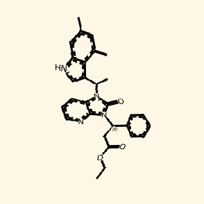 CCOC(=O)C[C@H](c1ccccc1)n1c(=O)n(C(C)c2c[nH]c3cc(C)cc(C)c23)c2cccnc21